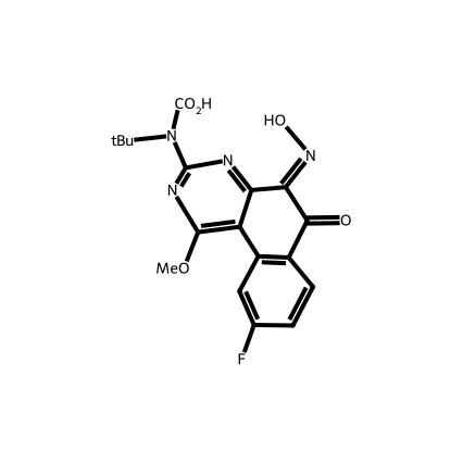 COc1nc(N(C(=O)O)C(C)(C)C)nc2c1-c1cc(F)ccc1C(=O)/C2=N/O